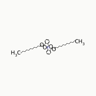 CCCCCCCCCCCCOC(=O)c1ccccc1/C=C/c1ccccc1C(=O)OCCCCCCCCCCCC